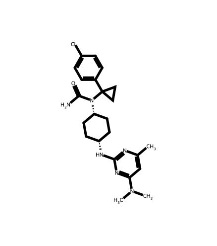 Cc1cc(N(C)C)nc(N[C@H]2CC[C@@H](N(C(N)=O)C3(c4ccc(Cl)cc4)CC3)CC2)n1